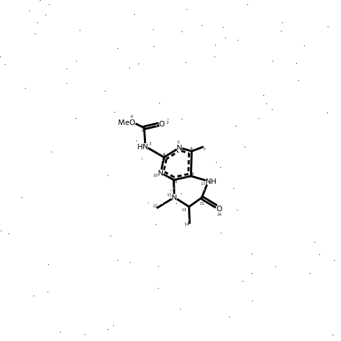 COC(=O)Nc1nc(C)c2c(n1)N(C)C(C)C(=O)N2